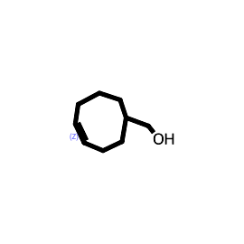 OCC1CC/C=C\CCC1